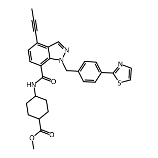 CC#Cc1ccc(C(=O)NC2CCC(C(=O)OC)CC2)c2c1cnn2Cc1ccc(-c2nccs2)cc1